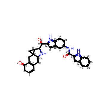 O=C1CC=CC2=C1CC13CC1C(C(=O)c1cc4cc(NC(=O)c5cc6ccccc6[nH]5)ccc4[nH]1)NC3=C2